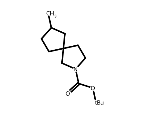 CC1CCC2(CCN(C(=O)OC(C)(C)C)C2)C1